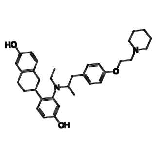 CCN(c1cc(O)ccc1C1CCc2cc(O)ccc2C1)C(C)Cc1ccc(OCCN2CCCCC2)cc1